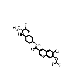 C[C@H](NC1CCC(NC(=O)c2cnc3cc(OC(F)F)c(Cl)cc3c2)CC1)C(F)F